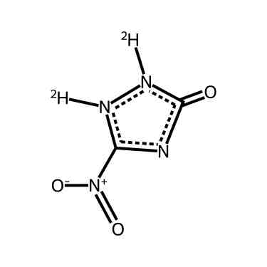 [2H]n1c([N+](=O)[O-])nc(=O)n1[2H]